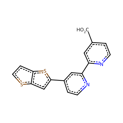 O=C(O)c1ccnc(-c2cc(-c3cc4sccc4s3)ccn2)c1